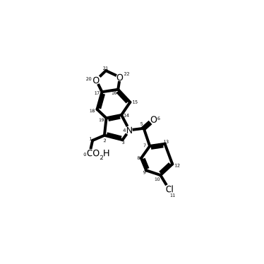 O=C(O)Cc1cn(C(=O)c2ccc(Cl)cc2)c2cc3c(cc12)OCO3